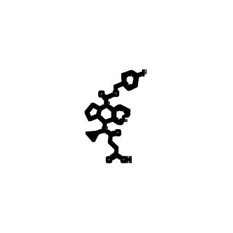 O=C(O)CCC(=O)N(C1CC1)C1c2ccccc2N(C(=O)OCc2ccc(F)cc2)C2CCCC21